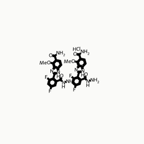 COc1c(C(N)=O)ccc2[nH]c(-c3c(F)cc(F)cc3C(=O)NN)nc12.COc1c(C(N)=O)ccc2[nH]c(-c3c(F)cc(F)cc3C(=O)NN)nc12.Cl